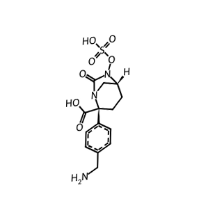 NCc1ccc([C@]2(C(=O)O)CC[C@@H]3CN2C(=O)N3OS(=O)(=O)O)cc1